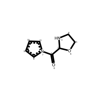 O=C(C1NCCO1)n1cccc1